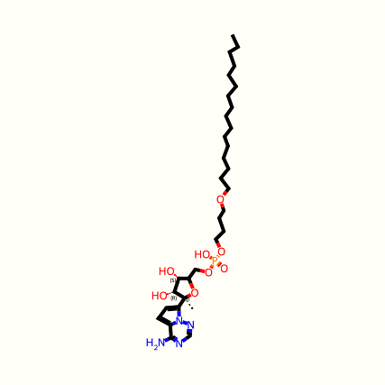 CCCCCCCCCCCCCCCCOCCCCOP(=O)(O)OCC1O[C@@](C)(c2ccc3c(N)ncnn23)[C@H](O)[C@@H]1O